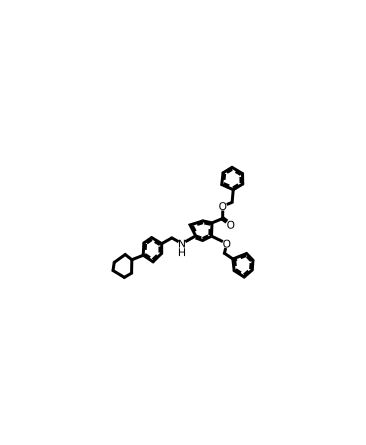 O=C(OCc1ccccc1)c1ccc(NCc2ccc(C3CCCCC3)cc2)cc1OCc1ccccc1